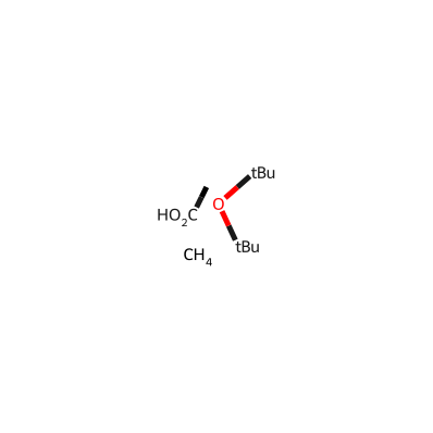 C.CC(=O)O.CC(C)(C)OC(C)(C)C